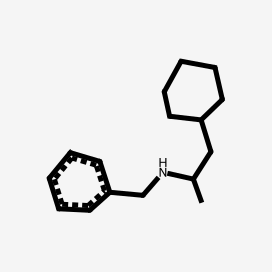 CC(CC1CCCCC1)NCc1c[c]ccc1